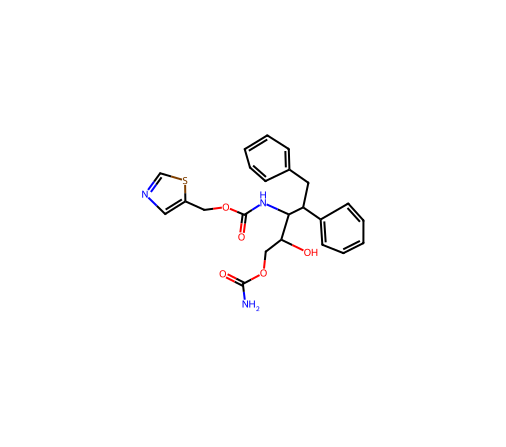 NC(=O)OCC(O)C(NC(=O)OCc1cncs1)C(Cc1ccccc1)c1ccccc1